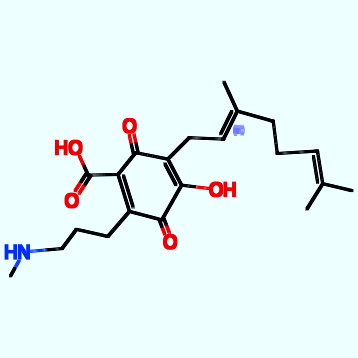 CNCCCC1=C(C(=O)O)C(=O)C(C/C=C(\C)CCC=C(C)C)=C(O)C1=O